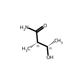 C[C@H](O)[C@H](C)C(N)=O